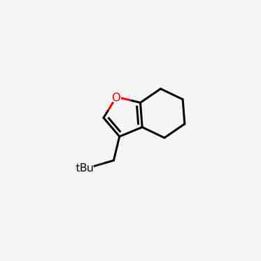 CC(C)(C)Cc1coc2c1CCCC2